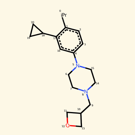 CC(C)c1ccc(N2CCN(CC3COC3)CC2)cc1C1CC1